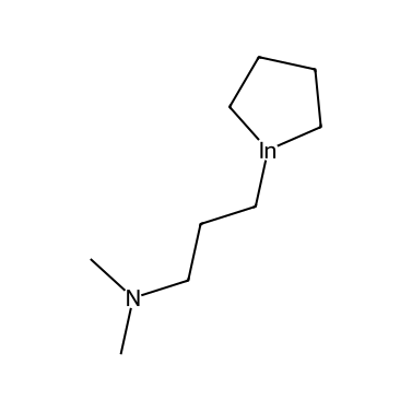 CN(C)CC[CH2][In]1[CH2]CC[CH2]1